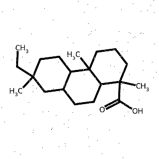 CCC1(C)CCC2C(CCC3C(C)(C(=O)O)CCCC23C)C1